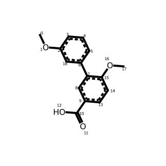 COc1cccc(-c2cc(C(=O)O)ccc2OC)c1